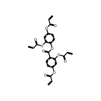 C=CC(=O)Oc1ccc(OC(=O)c2ccc(OC(=O)C=C)cc2OC(=O)C=C)c(OC(=O)C=C)c1